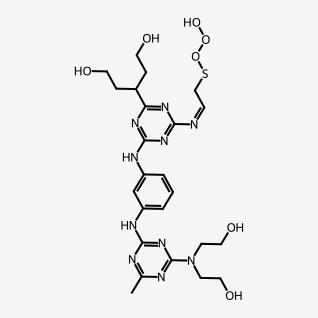 Cc1nc(Nc2cccc(Nc3nc(/N=C\CSOOO)nc(C(CCO)CCO)n3)c2)nc(N(CCO)CCO)n1